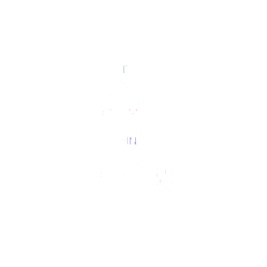 O=S1(=O)CCC(NCCOc2cc(F)ccc2Cl)c2cc(Cl)ccc21